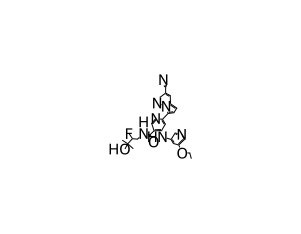 CCOc1cncc(Nc2cc(-c3ccc4cc(C#N)cnn34)ncc2C(=O)NCC(F)C(C)(C)O)c1